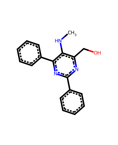 CNc1c(CO)nc(-c2ccccc2)nc1-c1ccccc1